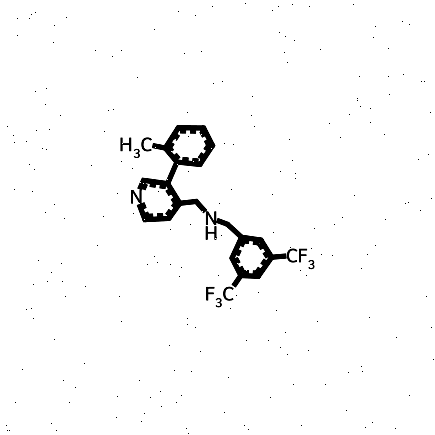 Cc1ccccc1-c1cnccc1CNCc1cc(C(F)(F)F)cc(C(F)(F)F)c1